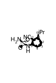 CC(C)c1cccc(NS(N)(=O)=O)c1C#N